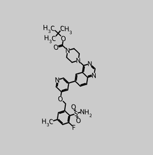 Cc1cc(F)c(S(N)(=O)=O)c(COc2cncc(-c3ccc4ncnc(N5CCN(C(=O)OC(C)(C)C)CC5)c4c3)c2)c1